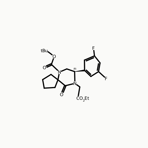 CCOC(=O)CN1C(=O)C2(CCCC2)N(C(=O)OC(C)(C)C)C[C@H]1c1cc(F)cc(F)c1